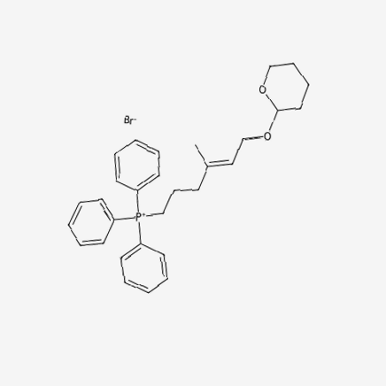 C/C(=C\COC1CCCCO1)CCC[P+](c1ccccc1)(c1ccccc1)c1ccccc1.[Br-]